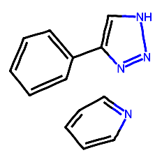 c1ccc(-c2c[nH]nn2)cc1.c1ccncc1